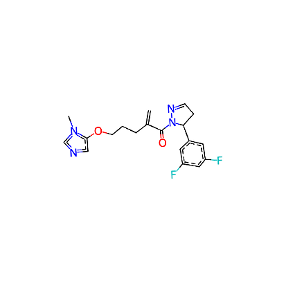 C=C(CCCOc1cncn1C)C(=O)N1N=CCC1c1cc(F)cc(F)c1